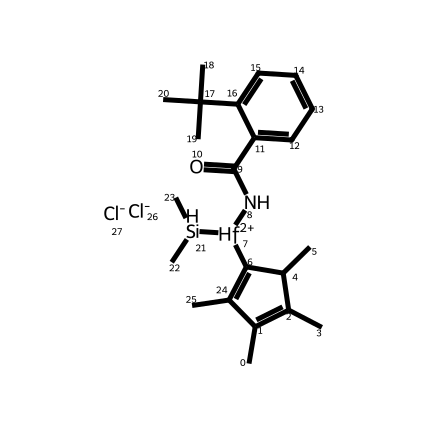 CC1=C(C)C(C)[C]([Hf+2]([NH]C(=O)c2ccccc2C(C)(C)C)[SiH](C)C)=C1C.[Cl-].[Cl-]